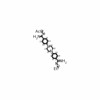 CCO/N=C(\N)c1ccc(N2CCN(c3ccc(/C(N)=N/OC(C)=O)cc3)CC2)cc1